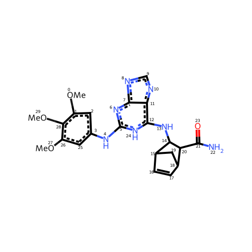 COc1cc(Nc2nc3ncnc-3c(NC3C4C=CC(C4)C3C(N)=O)[nH]2)cc(OC)c1OC